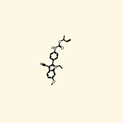 C=CC(C)OC(=O)Nc1ccc(-c2c(C#N)c3ccc(OC)cc3n2CC)cc1